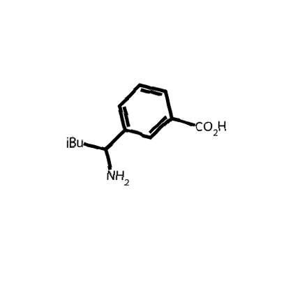 CCC(C)C(N)c1cccc(C(=O)O)c1